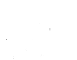 O=C(NCCc1ccccc1)c1cc([N+](=O)[O-])c(Sc2c(Cl)cncc2Cl)s1